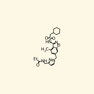 CCC(=O)NCc1ccn(Cc2cc(C)c3c(NS(=O)(=O)CC4CCCCC4)noc3c2)n1